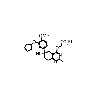 CCOC(=O)COc1nc(C)nc2c1CC(C#N)(c1ccc(OC)c(OC3CCCC3)c1)CC2